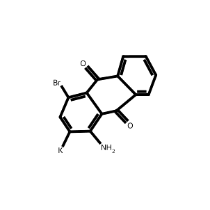 Nc1[c]([K])cc(Br)c2c1C(=O)c1ccccc1C2=O